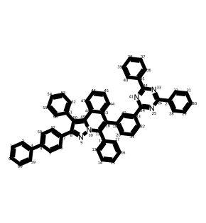 c1ccc(-c2ccc(-c3nn4c(-c5ccccc5)c(-c5cccc(-c6nc(-c7ccccc7)nc(-c7ccccc7)n6)c5)c5ccccc5c4c3-c3ccccc3)cc2)cc1